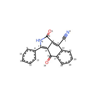 N#CC1=C2C(=O)NC(c3ccccc3)=C2C(=O)c2ccccc21